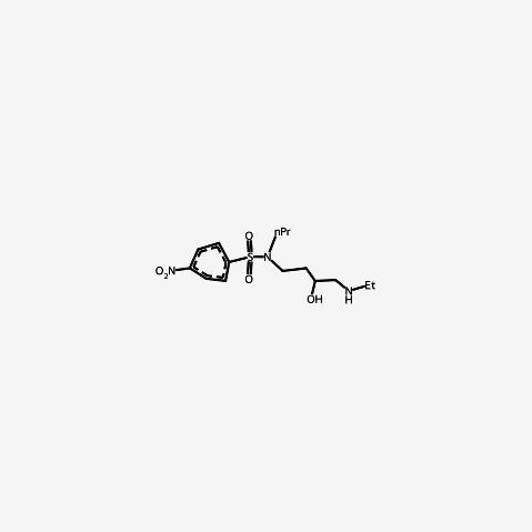 CCCN(CCC(O)CNCC)S(=O)(=O)c1ccc([N+](=O)[O-])cc1